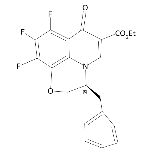 CCOC(=O)c1cn2c3c(c(F)c(F)c(F)c3c1=O)OC[C@@H]2Cc1ccccc1